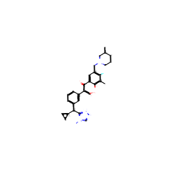 Cc1c(F)c(CN2CCCC(C)C2)cc2c(=O)c(-c3cccc(C(c4nncn4C)C4CC4)c3)coc12